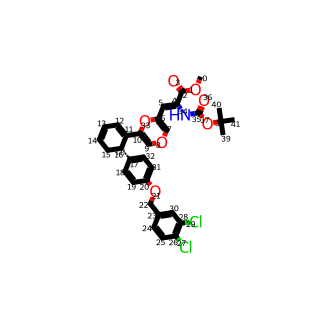 COC(=O)C(=CC1=COC=C(C2=CC=CC[C@H]2c2ccc(OCc3ccc(Cl)c(Cl)c3)cc2)O1)NC(=O)OC(C)(C)C